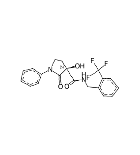 O=C(NCc1ccccc1C(F)(F)F)[C@@]1(O)CCN(c2ccccc2)C1=O